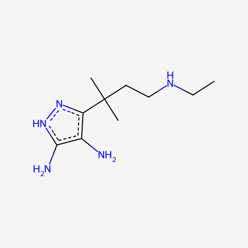 CCNCCC(C)(C)c1n[nH]c(N)c1N